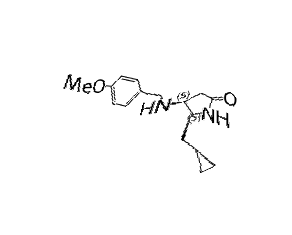 COc1ccc(CN[C@H]2CC(=O)N[C@H]2CC2CC2)cc1